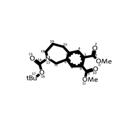 COC(=O)c1cc2c(cc1C(=O)OC)CN(C(=O)OC(C)(C)C)CCC2